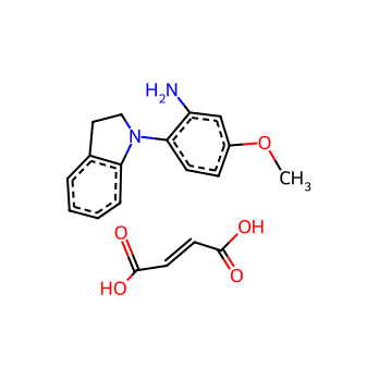 COc1ccc(N2CCc3ccccc32)c(N)c1.O=C(O)C=CC(=O)O